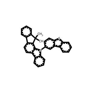 CC1(C)c2ccccc2-c2ccc3c4ccccc4n(-c4ccc5sc6ccccc6c5c4)c3c21